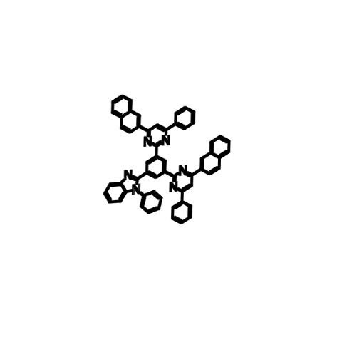 c1ccc(-c2cc(-c3ccc4ccccc4c3)nc(-c3cc(-c4nc(-c5ccccc5)cc(-c5ccc6ccccc6c5)n4)cc(-c4nc5ccccc5n4-c4ccccc4)c3)n2)cc1